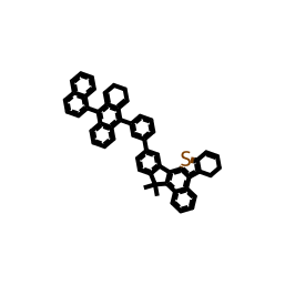 CC1(C)c2ccc(-c3cccc(-c4c5c(c(-c6cccc7ccccc67)c6ccccc46)=CCCC=5)c3)cc2-c2c1c1ccccc1c1c3c(sc21)C=CCC3